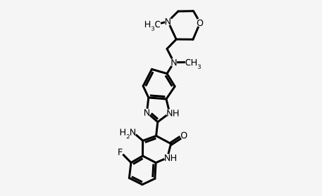 CN(CC1COCCN1C)c1ccc2nc(-c3c(N)c4c(F)cccc4[nH]c3=O)[nH]c2c1